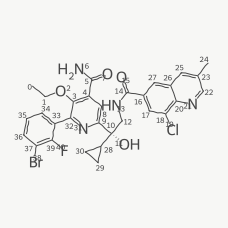 CCOc1c(C(N)=O)cc([C@@](O)(CNC(=O)c2cc(Cl)c3ncc(C)cc3c2)C2CC2)nc1-c1cccc(Br)c1F